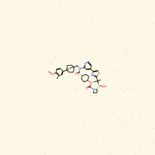 COc1ccc(C23CCC(CN(c4cc(-c5coc(C(C)(C)C)n5)ccn4)C(=O)[C@H]4CC[C@H](OC(=O)N5CC[C@H]5CO)CC4)(CC2)CC3)cc1C